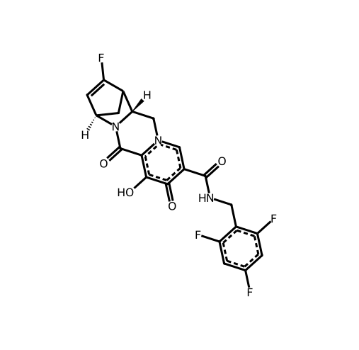 O=C(NCc1c(F)cc(F)cc1F)c1cn2c(c(O)c1=O)C(=O)N1[C@H]3C=C(F)C(C3)[C@@H]1C2